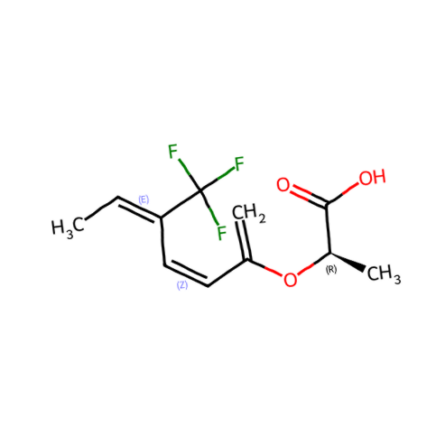 C=C(/C=C\C(=C/C)C(F)(F)F)O[C@H](C)C(=O)O